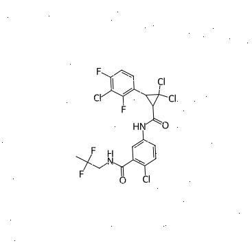 CC(F)(F)CNC(=O)c1cc(NC(=O)C2C(c3ccc(F)c(Cl)c3F)C2(Cl)Cl)ccc1Cl